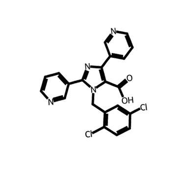 O=C(O)c1c(-c2cccnc2)nc(-c2cccnc2)n1Cc1cc(Cl)ccc1Cl